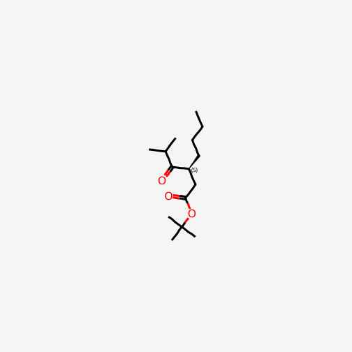 CCCC[C@@H](CC(=O)OC(C)(C)C)C(=O)C(C)C